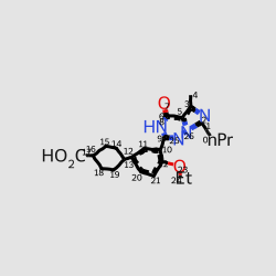 CCCc1nc(C)c2c(=O)[nH]c(-c3cc(C4CCC(C(=O)O)CC4)ccc3OCC)nn12